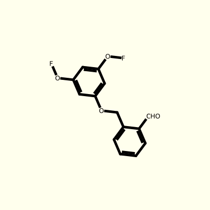 O=Cc1ccccc1COc1cc(OF)cc(OF)c1